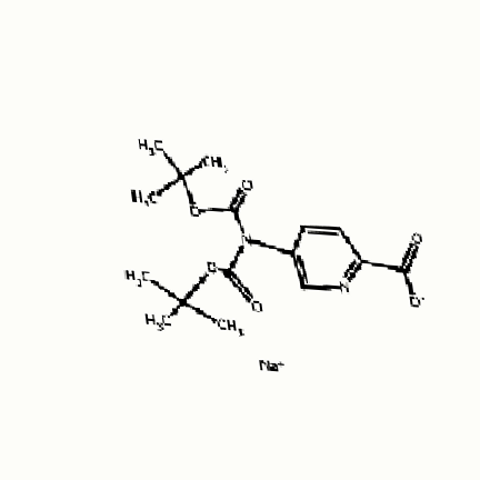 CC(C)(C)OC(=O)N(C(=O)OC(C)(C)C)c1ccc(C(=O)[O-])nc1.[Na+]